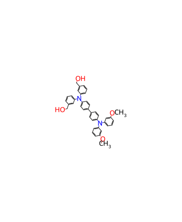 COc1cccc(N(c2ccc(-c3ccc(N(c4cccc(CO)c4)c4cccc(CO)c4)cc3)cc2)c2cccc(OC)c2)c1